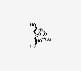 CC(C)(C)O[SH](=O)(O)C(C)(C)C.OCCOCCO